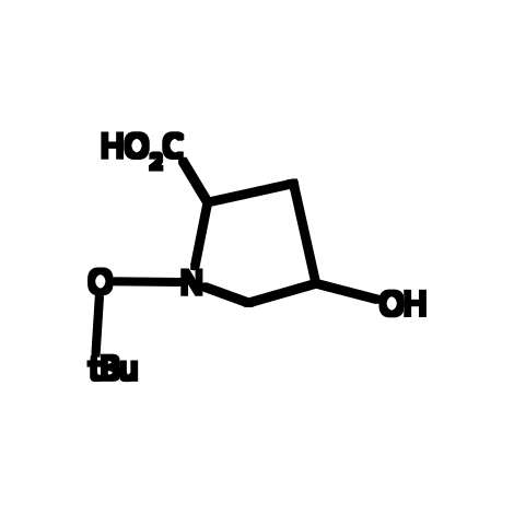 CC(C)(C)ON1CC(O)CC1C(=O)O